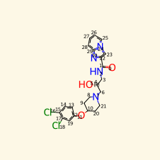 O=C(NC[C@@H](O)CN1CCC(Oc2ccc(Cl)c(Cl)c2)CC1)c1cn2ccccc2n1